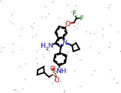 Nc1c(-c2ccc(NS(=O)(=O)CC3CCC3)cc2)n(C2CCC2)c2cc(OCC(F)F)ccc12